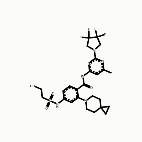 Cc1cc(NC(=O)c2ccc(NS(=O)(=O)CCO)cc2N2CCC3(CC2)CC3)nc(N2CC(F)(F)C(F)(F)C2)n1